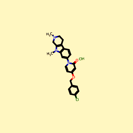 CN1CCc2c(n(C)c3cc(-n4ccc(OCc5ccc(Cl)cc5)cc4=O)ccc23)C1.Cl